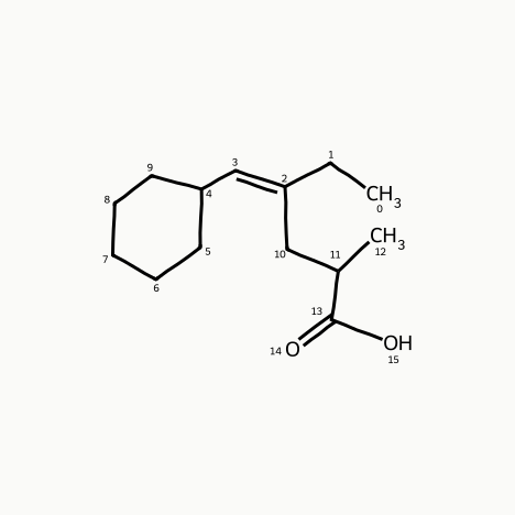 CCC(=CC1CCCCC1)CC(C)C(=O)O